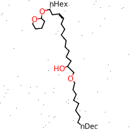 CCCCCCCCCCCCCCCCCCOCC(O)CCCCCCCC/C=C\C[C@@H](CCCCCC)OC1CCCCO1